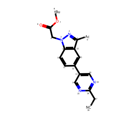 CC(=O)c1nn(CC(=O)OC(C)(C)C)c2ccc(-c3cnc(CC#N)nc3)cc12